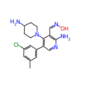 Cc1cc(Cl)cc(-c2cnc(N)c(/C=N\O)c2N2CCC(N)CC2)c1